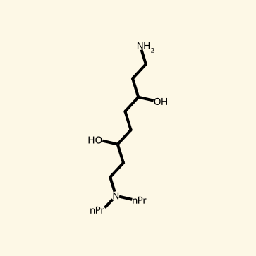 CCCN(CCC)CCC(O)CCC(O)CCN